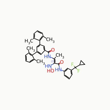 C/C(NC(=O)c1cc(-c2c(C)cccc2C)cc(-c2c(C)cccc2C)c1)=C(/NO)C(=O)Nc1cccc(C(F)(F)C2CC2)c1